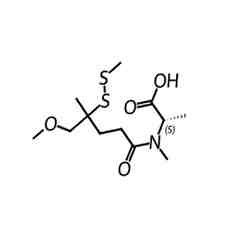 COCC(C)(CCC(=O)N(C)[C@@H](C)C(=O)O)SSC